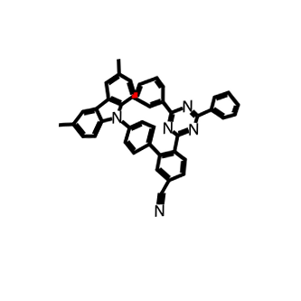 Cc1ccc2c(c1)c1cc(C)ccc1n2-c1ccc(-c2cc(C#N)ccc2-c2nc(-c3ccccc3)nc(-c3ccccc3)n2)cc1